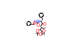 C[C@H]1O[C@@H]2OC(C)(C)OC2[C@H]1CC(=O)[C@H](Cc1ccccc1)NC(=O)OCc1ccccc1